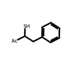 CC(=O)C(S)Cc1ccccc1